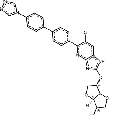 O[C@@H]1COC2[C@H](Oc3nc4nc(-c5ccc(-c6ccc(-n7cnnc7)cc6)cc5)c(Cl)cc4[nH]3)CO[C@@H]21